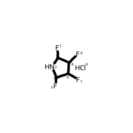 Cl.FC1NC(F)C(F)C1F